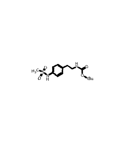 CC(C)(C)OC(=O)NCCc1ccc(NS(C)(=O)=O)cc1